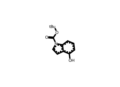 CC(C)(C)OC(=O)n1ccc2c(O)cccc21